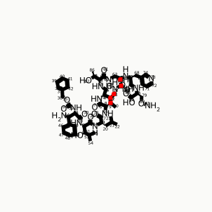 CC[C@H](C)[C@H](NC(=O)[C@@H](CCCNC(=N)N)NC(=O)[C@H](CC(C)C)NC(=O)[C@@H](NC(=O)[C@@H](NC(=O)OCc1ccccc1)[C@H](N)c1ccccc1)[C@H](O)C(C)C)C(=O)N[C@H](C(=O)NCC(=O)N[C@@H](Cc1cccnc1)C(=O)N[C@@H](CON)C(=O)O)[C@H](C)O